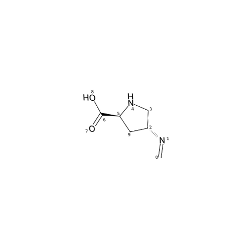 C=N[C@H]1CN[C@H](C(=O)O)C1